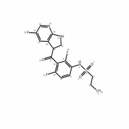 CCCS(=O)(=O)Nc1ccc(F)c(C(=O)C2CNc3ncc(F)cc32)c1F